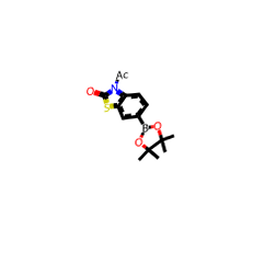 CC(=O)n1c(=O)sc2cc(B3OC(C)(C)C(C)(C)O3)ccc21